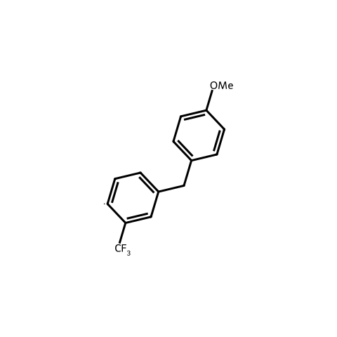 COc1ccc(Cc2cc[c]c(C(F)(F)F)c2)cc1